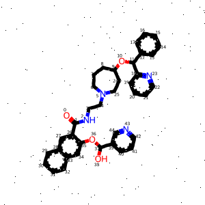 O=C(NCCN1CCCC(OC(c2ccccc2)c2ccccn2)CC1)c1cc2ccccc2cc1OC(O)c1cccnc1